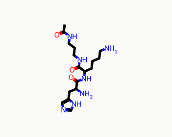 CC(=O)NCCCNC(=O)C(CCCCN)NC(=O)C(N)Cc1cnc[nH]1